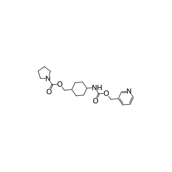 O=C(NC1CCC(COC(=O)N2CCCC2)CC1)OCc1cccnc1